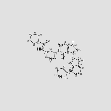 O=C(Nc1cncc(-c2ncc3[nH]nc(-c4nc5c(-c6cccnc6)cccc5[nH]4)c3c2F)c1)C1CCCCC1